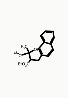 CCOC(=O)C(Cc1ccc2ccccc2c1)C(O)(OCC)C(F)(F)F